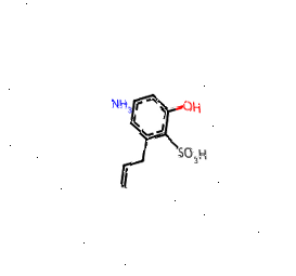 C=CCc1cccc(O)c1S(=O)(=O)O.N